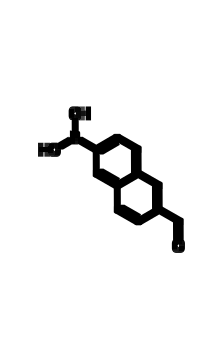 O=Cc1ccc2cc(B(O)O)ccc2c1